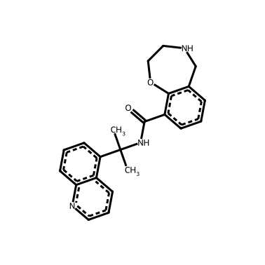 CC(C)(NC(=O)c1cccc2c1OCCNC2)c1cccc2ncccc12